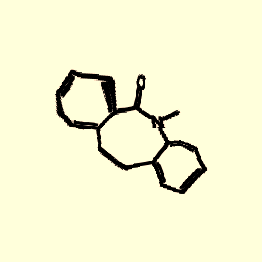 CN1C(=O)c2ccccc2CCc2ccccc21